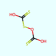 OC(=S)OSC(O)=S